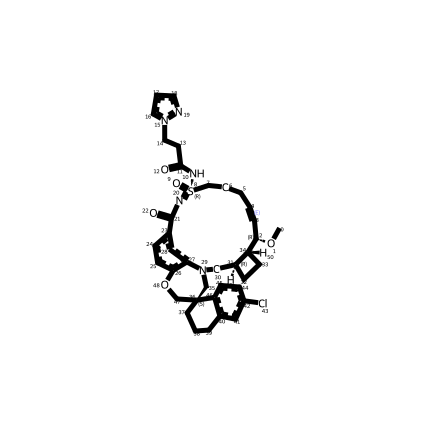 CO[C@H]1/C=C/CCC[S@@](=O)(NC(=O)CCn2cccn2)=NC(=O)c2ccc3c(c2)N(C[C@@H]2CC[C@H]21)C[C@@]1(CCCc2cc(Cl)ccc21)CO3